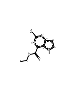 CCOC(=O)c1nc(Cl)nc2cc[nH]c12